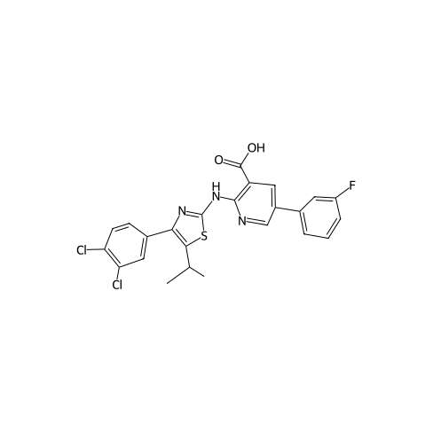 CC(C)c1sc(Nc2ncc(-c3cccc(F)c3)cc2C(=O)O)nc1-c1ccc(Cl)c(Cl)c1